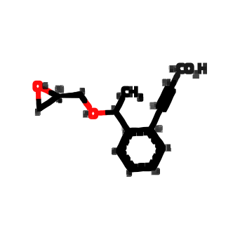 CC(OC[C@H]1CO1)c1ccccc1C#CC(=O)O